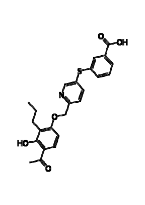 CCCc1c(OCc2ccc(Sc3cccc(C(=O)O)c3)cn2)ccc(C(C)=O)c1O